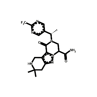 C[C@@H](c1cnc(C(F)(F)F)nc1)N1CC(C(N)=O)n2nc3c(c2C1=O)CNC(C)(C)C3